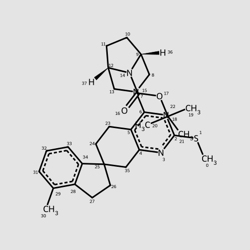 CSc1nc2c(c(N3C[C@H]4CC[C@@H](C3)N4C(=O)OC(C)(C)C)n1)CCC1(CCc3c(C)cccc31)C2